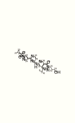 CC(C)Nc1cc(Nc2ccnc(-c3cnn(S(=O)(=O)C4CC4)c3)n2)ncc1C(=O)NCCCO